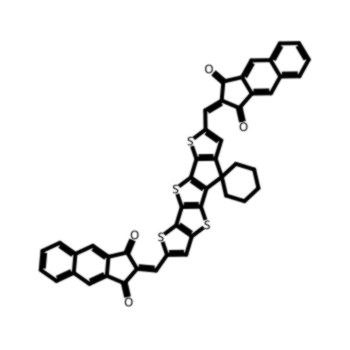 O=C1C(=Cc2cc3c(s2)-c2sc4c(sc5cc(C=C6C(=O)c7cc8ccccc8cc7C6=O)sc54)c2C32CCCCC2)C(=O)c2cc3ccccc3cc21